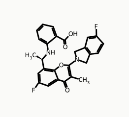 Cc1c(N2Cc3ccc(F)cc3C2)oc2c([C@@H](C)Nc3ccccc3C(=O)O)cc(F)cc2c1=O